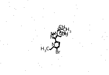 CCc1nc(-c2nnn(C[Si](C)(C)C)c2CO)ccc1Br